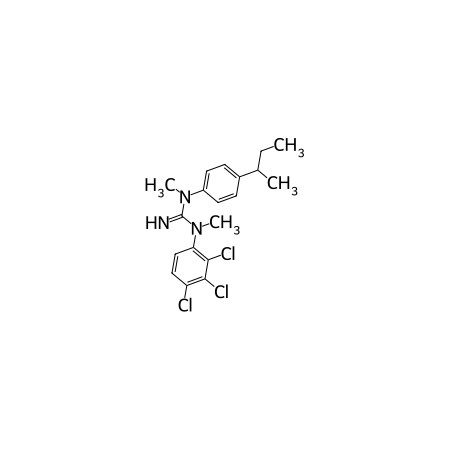 CCC(C)c1ccc(N(C)C(=N)N(C)c2ccc(Cl)c(Cl)c2Cl)cc1